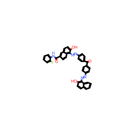 O=C(Nc1ccccc1F)c1ccc2c(N=Nc3ccc(C(=O)c4ccc(N=Nc5c(O)ccc6ccccc56)cc4)cc3)c(O)ccc2c1